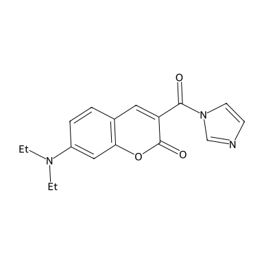 CCN(CC)c1ccc2cc(C(=O)n3ccnc3)c(=O)oc2c1